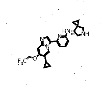 FC(F)(F)COc1cc2ncc(-c3cccc(N[C@H]4CNCC45CC5)n3)n2cc1C1CC1